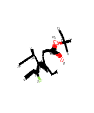 C=C(F)/C(=C(\CC)CC(=O)OC(C)(C)C)C(C)C